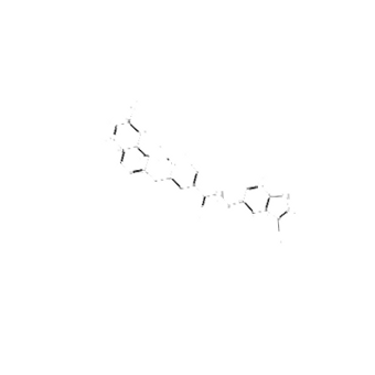 C=N/C(=C\C(=C/C)C(=O)NCc1cnc2[nH]cc(Cl)c2c1)Cc1ccc2ncc(N)cc2c1